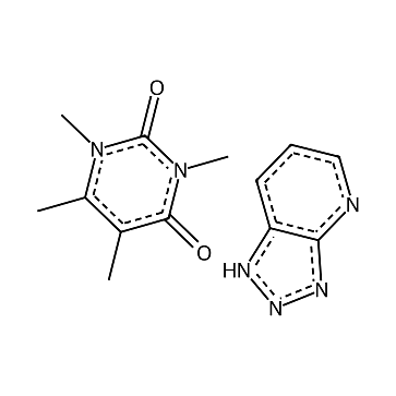 Cc1c(C)n(C)c(=O)n(C)c1=O.c1cnc2nn[nH]c2c1